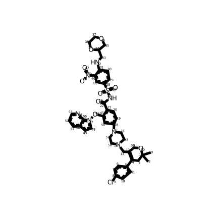 CC1(C)CC(c2ccc(Cl)cc2)=C(CN2CCN(c3ccc(C(=O)NS(=O)(=O)c4ccc(NCC5COCCO5)c([N+](=O)[O-])c4)c(On4ccc5cccnc54)c3)CC2)CO1